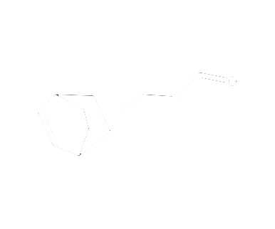 C1=CC2CCC1CC2.CCOC=O